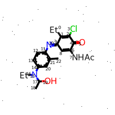 CCC1=C(Cl)C(=O)C(NC(C)=O)=CC1=Nc1ccc(N(CC)C(C)O)cc1C